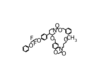 COCCCN1C(=O)COc2ccc(COC3CN(C(=O)OCc4ccccc4)CCC3c3ccc(OCC(F)(F)COc4ccccc4)cc3)cc21